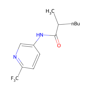 CCCCC(C)C(=O)Nc1ccc(C(F)(F)F)nc1